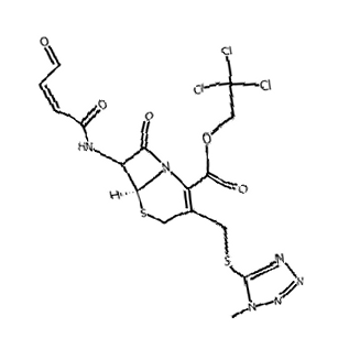 Cn1nnnc1SCC1=C(C(=O)OCC(Cl)(Cl)Cl)N2C(=O)C(NC(=O)/C=C\C=O)[C@@H]2SC1